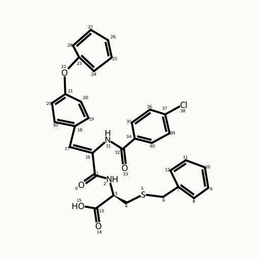 O=C(N[C@@H](CSCc1ccccc1)C(=O)O)/C(=C/c1ccc(Oc2ccccc2)cc1)NC(=O)c1ccc(Cl)cc1